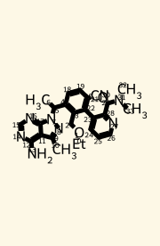 CCOCc1c(C(C)n2nc(C)c3c(N)ncnc32)ccc(C#N)c1-c1cccnc1C(=O)N(C)C